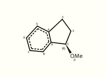 CO[C@@H]1CCc2ccccc21